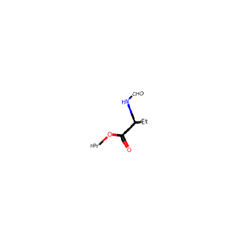 CCCOC(=O)C(CC)NC=O